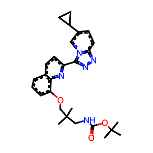 CC(C)(CNC(=O)OC(C)(C)C)COc1cccc2ccc(-c3nnc4ccc(C5CC5)cn34)nc12